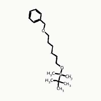 CC(C)(C)[Si](C)(C)OCC[CH]CCCOCc1ccccc1